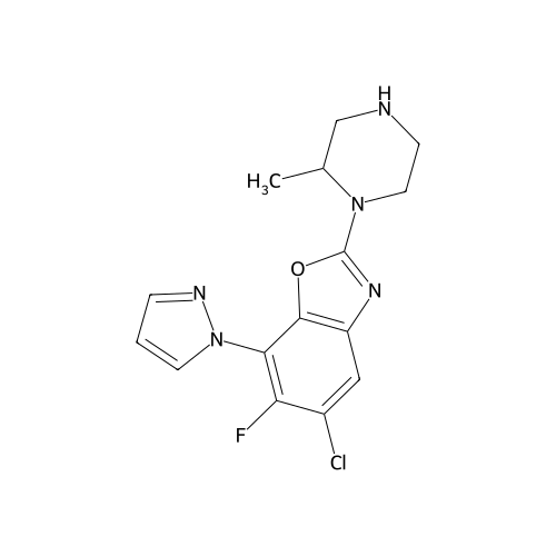 CC1CNCCN1c1nc2cc(Cl)c(F)c(-n3cccn3)c2o1